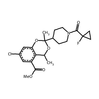 COC(=O)c1cc(Cl)cc2c1C(C)OC(C)(C1CCN(C(=O)C3(F)CC3)CC1)O2